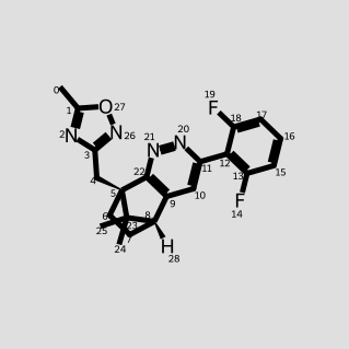 Cc1nc(C[C@@]23CC[C@@H](c4cc(-c5c(F)cccc5F)nnc42)C3(C)C)no1